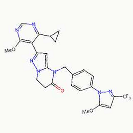 COc1ncnc(C2CC2)c1-c1cc2n(n1)CCC(=O)N2Cc1ccc(-n2nc(C(F)(F)F)cc2OC)cc1